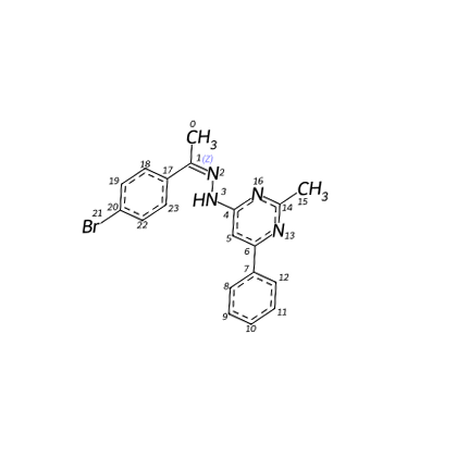 C/C(=N/Nc1cc(-c2ccccc2)nc(C)n1)c1ccc(Br)cc1